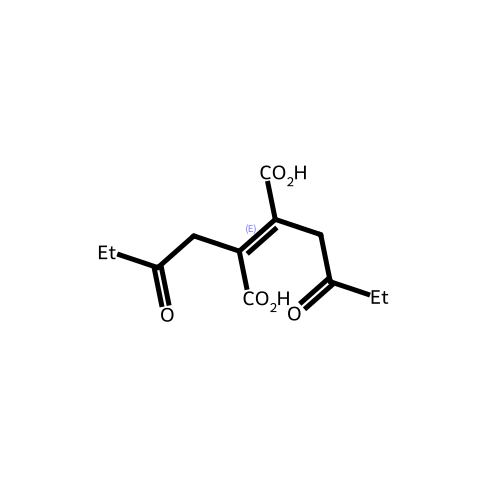 CCC(=O)C/C(C(=O)O)=C(/CC(=O)CC)C(=O)O